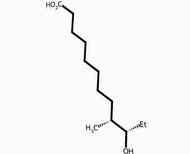 CC[C@H](O)[C@H](C)CCCCCCCC(=O)O